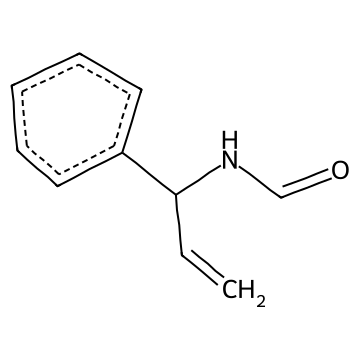 C=CC(NC=O)c1ccccc1